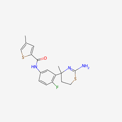 Cc1csc(C(=O)Nc2ccc(F)c(C3(C)CCSC(N)=N3)c2)c1